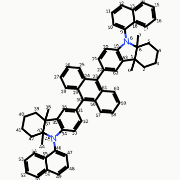 CC12CCCCC1(C)N(c1cccc3ccccc13)c1ccc(-c3c4ccccc4c(-c4ccc5c(c4)C4(C)CCCCC4(C)N5c4cccc5ccccc45)c4ccccc34)cc12